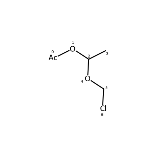 CC(=O)OC(C)OCCl